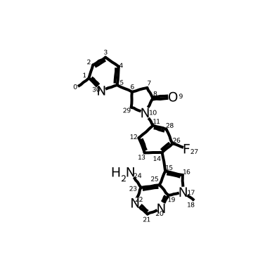 Cc1cccc(C2CC(=O)N(c3ccc(-c4cn(C)c5ncnc(N)c45)c(F)c3)C2)n1